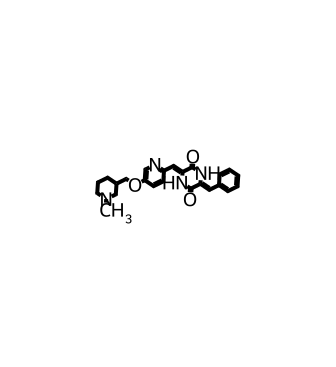 CN1CCCC(COc2ccc(/C=c3\[nH]c(=O)/c(=C/c4ccccc4)[nH]c3=O)nc2)C1